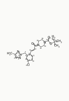 Cc1nnn(Cc2cc(Cl)ccc2C=CC(=O)N2CCN(C(=O)OC(C)(C)C)CC2)n1